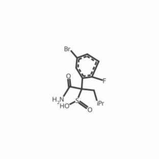 CC(C)CC(C(N)=O)(c1cc(Br)ccc1F)S(=O)O